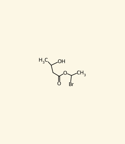 CC(O)CC(=O)OC(C)Br